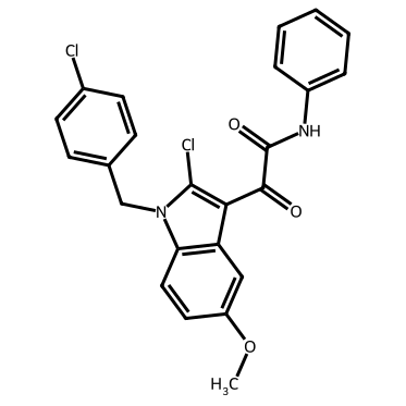 COc1ccc2c(c1)c(C(=O)C(=O)Nc1ccccc1)c(Cl)n2Cc1ccc(Cl)cc1